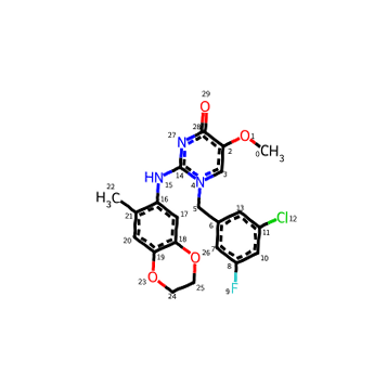 COc1cn(Cc2cc(F)cc(Cl)c2)c(Nc2cc3c(cc2C)OCCO3)nc1=O